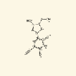 C#Cc1cn(C2CC(O)C(CO)S2)c(=O)[nH]c1=O